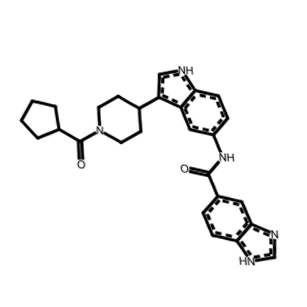 O=C(Nc1ccc2[nH]cc(C3CCN(C(=O)C4CCCC4)CC3)c2c1)c1ccc2[nH]cnc2c1